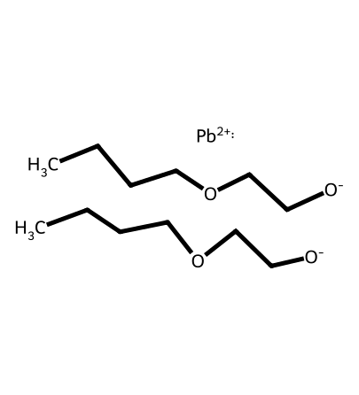 CCCCOCC[O-].CCCCOCC[O-].[Pb+2]